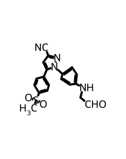 CS(=O)(=O)c1ccc(-c2cc(C#N)nn2-c2ccc(NCC=O)cc2)cc1